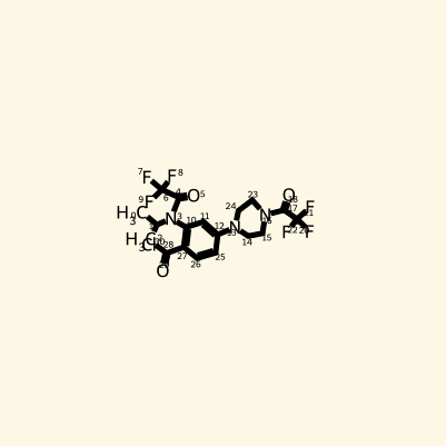 CC(C)N(C(=O)C(F)(F)F)c1cc(N2CCN(C(=O)C(F)(F)F)CC2)ccc1C(=O)Cl